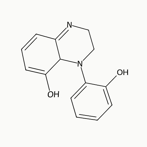 OC1=CC=CC2=NCCN(c3ccccc3O)C12